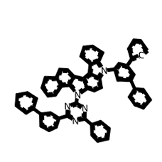 c1ccc(-c2cccc(-c3nc(-c4ccccc4)nc(-n4c5ccc6c(c7ccccc7n6-c6cc(-c7ccccc7)cc(-c7ccccc7)c6)c5c5ccc6ccccc6c54)n3)c2)cc1